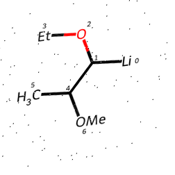 [Li][CH](OCC)C(C)OC